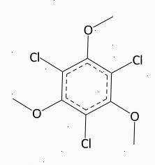 COc1c(Cl)c(OC)c(Cl)c(OC)c1Cl